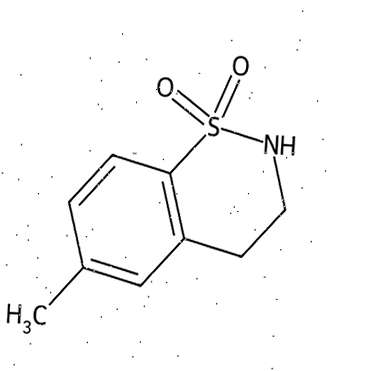 Cc1ccc2c(c1)CCNS2(=O)=O